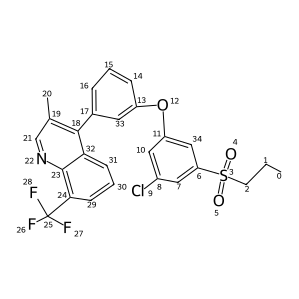 CCCS(=O)(=O)c1cc(Cl)cc(Oc2cccc(-c3c(C)cnc4c(C(F)(F)F)cccc34)c2)c1